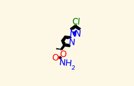 C[C@H](OC(N)=O)c1ccc(-n2cc(Cl)cn2)nc1